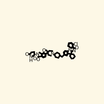 O=C1CC[C@H](N2Cc3c(ccc4c3OCC43CCN(C4CCC(Cc5ccc6c(c5)C5(CCCCC5)c5nc(=O)c7c(Cl)cccc7n5-6)CC4)CC3)C2=O)C(=O)N1